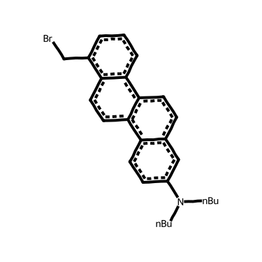 CCCCN(CCCC)c1ccc2c(ccc3c4cccc(CBr)c4ccc23)c1